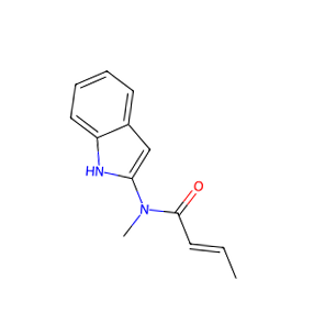 CC=CC(=O)N(C)c1cc2ccccc2[nH]1